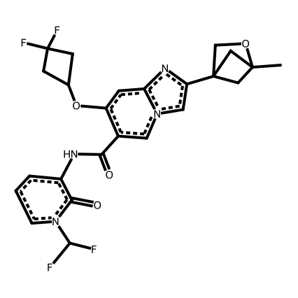 CC12CC(c3cn4cc(C(=O)Nc5cccn(C(F)F)c5=O)c(OC5CC(F)(F)C5)cc4n3)(CO1)C2